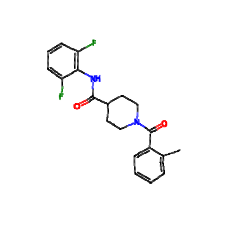 Cc1ccccc1C(=O)N1CCC(C(=O)Nc2c(F)cccc2F)CC1